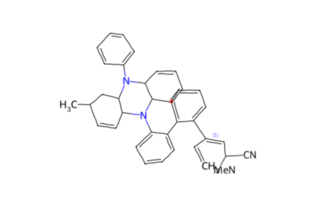 C=C/C(=C\C(C#N)NC)c1ccccc1-c1ccccc1N1C2C=CC=CC2N(c2ccccc2)C2CC(C)C=CC21